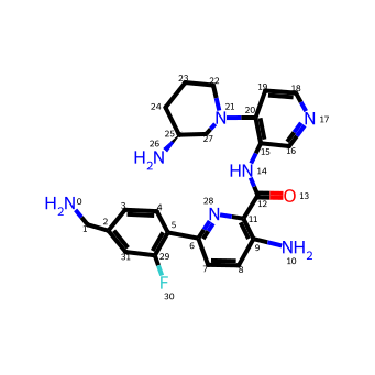 NCc1ccc(-c2ccc(N)c(C(=O)Nc3cnccc3N3CCC[C@H](N)C3)n2)c(F)c1